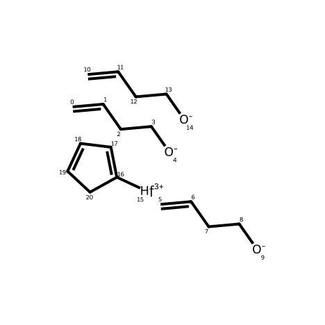 C=CCC[O-].C=CCC[O-].C=CCC[O-].[Hf+3][C]1=CC=CC1